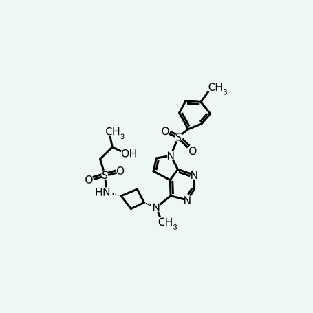 Cc1ccc(S(=O)(=O)n2ccc3c(N(C)[C@H]4C[C@@H](NS(=O)(=O)CC(C)O)C4)ncnc32)cc1